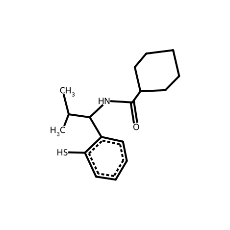 CC(C)C(NC(=O)C1CCCCC1)c1ccccc1S